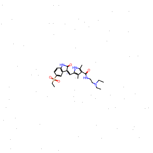 CCN(CC)CCNC(=O)c1c(C)[nH]c(/C=C2\C(=O)Nc3ccc(S(=O)(=O)CC)cc32)c1C